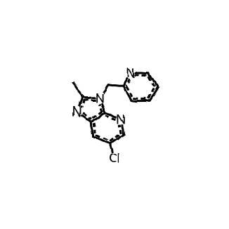 Cc1nc2cc(Cl)cnc2n1Cc1ccccn1